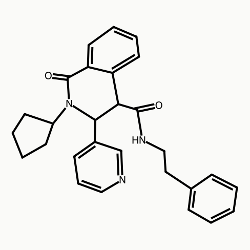 O=C(NCCc1ccccc1)C1c2ccccc2C(=O)N(C2CCCC2)C1c1cccnc1